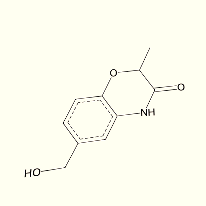 CC1Oc2ccc(CO)cc2NC1=O